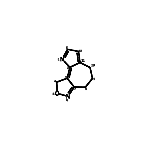 C1=NC2=C3CON=C3CCCC2=C1